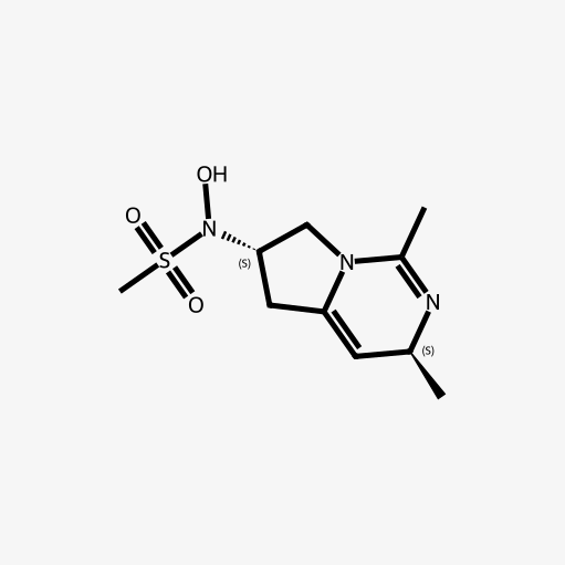 CC1=N[C@@H](C)C=C2C[C@H](N(O)S(C)(=O)=O)CN21